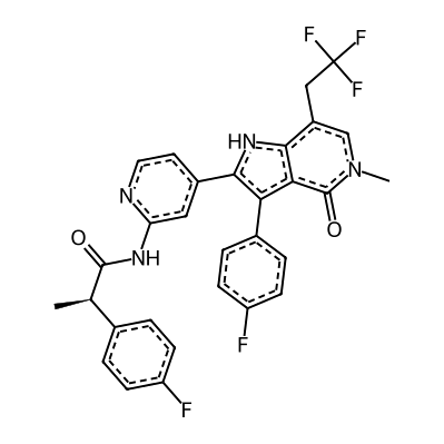 C[C@@H](C(=O)Nc1cc(-c2[nH]c3c(CC(F)(F)F)cn(C)c(=O)c3c2-c2ccc(F)cc2)ccn1)c1ccc(F)cc1